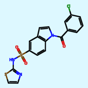 O=C(c1cccc(Cl)c1)n1ccc2cc(S(=O)(=O)Nc3nccs3)ccc21